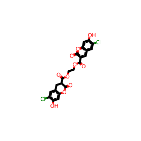 O=C(OCCOC(=O)C1Cc2cc(Cl)c(O)cc2OC1=O)c1cc2cc(Cl)c(O)cc2oc1=O